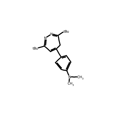 CN(C)c1ccc(C2=CC(C(C)(C)C)=NN=C(C(C)(C)C)C2)cc1